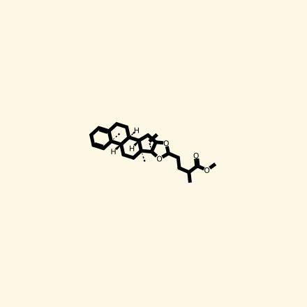 CC[C@@]12OC(CCC(C)C(=O)OC)OC1C[C@H]1[C@@H]3CCC4=CCC=C[C@]4(C)[C@H]3CC[C@@]12C